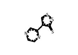 S=c1sscc1-c1cnccn1